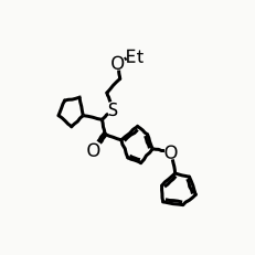 CCOCCSC(C(=O)c1ccc(Oc2ccccc2)cc1)C1CCCC1